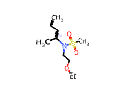 C=C/C=C(\C)N(CCOCC)S(C)(=O)=O